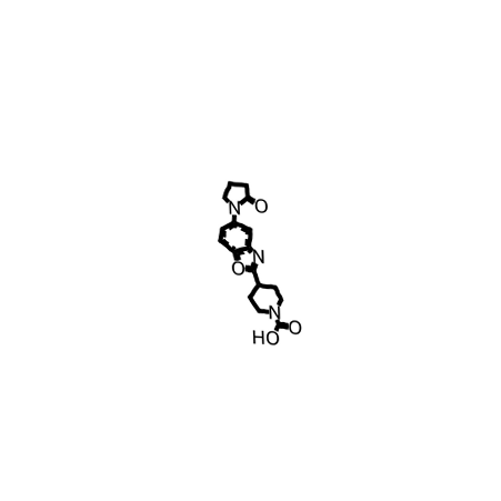 O=C(O)N1CCC(c2nc3cc(N4CCCC4=O)ccc3o2)CC1